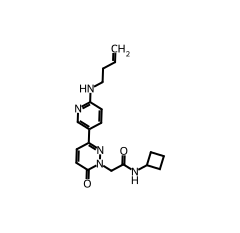 C=CCCNc1ccc(-c2ccc(=O)n(CC(=O)NC3CCC3)n2)cn1